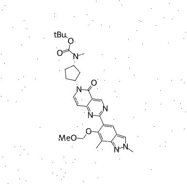 COCOc1c(-c2ncc3c(=O)n([C@@H]4CC[C@H](N(C)C(=O)OC(C)(C)C)C4)ccc3n2)cc2cn(C)nc2c1C